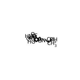 CC(C)(CO)CCNC[C@H]1Cc2c(cc(O)c(N3CC(=O)NS3(=O)=O)c2F)O1